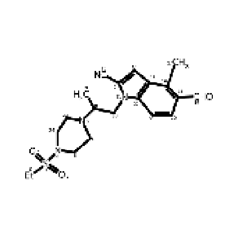 CCS(=O)(=O)N1CCN(C(C)Cn2c(C#N)cc3c(C)c(C=O)ccc32)CC1